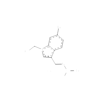 CC(C)Cn1cc([C@H](N[S+]([O-])C(C)(C)C)C(F)(F)F)c2ccc(Br)cc21